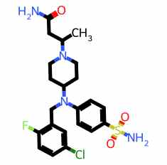 CC(CC(N)=O)N1CCC(N(Cc2cc(Cl)ccc2F)c2ccc(S(N)(=O)=O)cc2)CC1